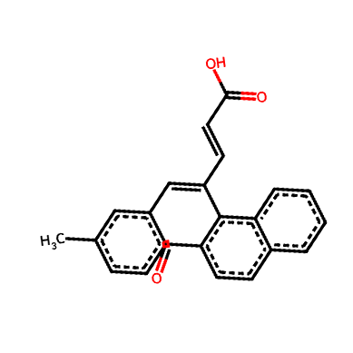 Cc1cccc(/C=C(/C=C/C(=O)O)c2c(C=O)ccc3ccccc23)c1